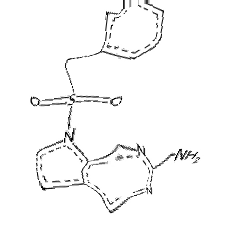 Nc1ncc2ccn(S(=O)(=O)Cc3ccccc3)c2n1